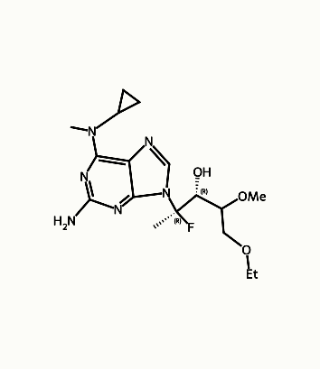 CCOCC(OC)[C@@H](O)[C@@](C)(F)n1cnc2c(N(C)C3CC3)nc(N)nc21